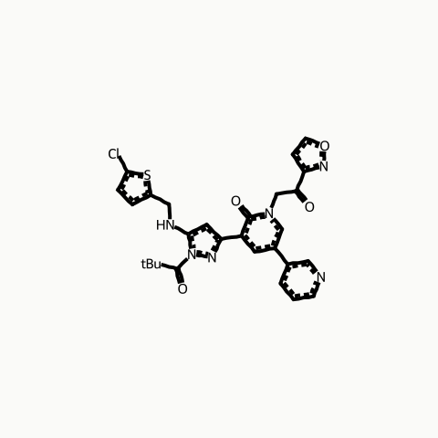 CC(C)(C)C(=O)n1nc(-c2cc(-c3cccnc3)cn(CC(=O)c3ccon3)c2=O)cc1NCc1ccc(Cl)s1